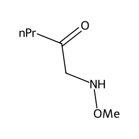 [CH2]CCC(=O)CNOC